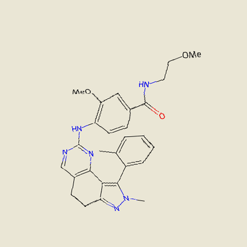 COCCNC(=O)c1ccc(Nc2ncc3c(n2)-c2c(nn(C)c2-c2ccccc2C)CC3)c(OC)c1